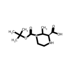 CC1[C@@H](C(=O)O)NCCN1C(=O)OC(C)(C)C